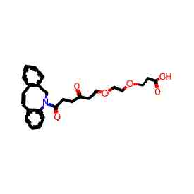 O=C(O)CCOCCOCCC(=O)CCC(=O)N1Cc2ccccc2/C=C\c2ccccc21